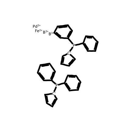 [B+3].[B+3].[Fe+2].[Pd+2].c1ccc(P(c2ccccc2)[c-]2cccc2)cc1.c1ccc(P(c2ccccc2)[c-]2cccc2)cc1